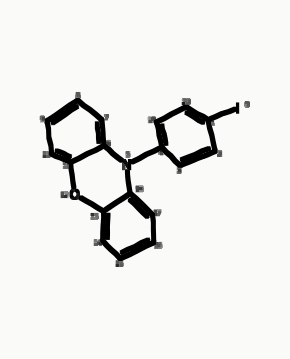 Ic1ccc(N2c3ccccc3Oc3ccccc32)cc1